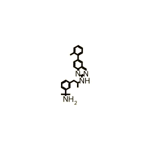 Cc1ccccc1-c1ccc2nc(NC(C)Cc3cccc(C(C)(C)N)c3)ncc2c1